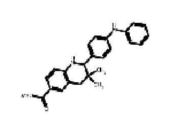 COC(=O)c1ccc2c(c1)CC(C)(C)C(c1ccc(Nc3ccccc3)cc1)N2